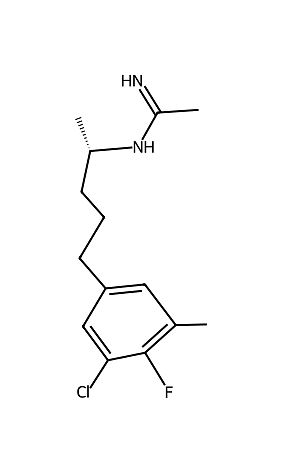 CC(=N)N[C@@H](C)CCCc1cc(C)c(F)c(Cl)c1